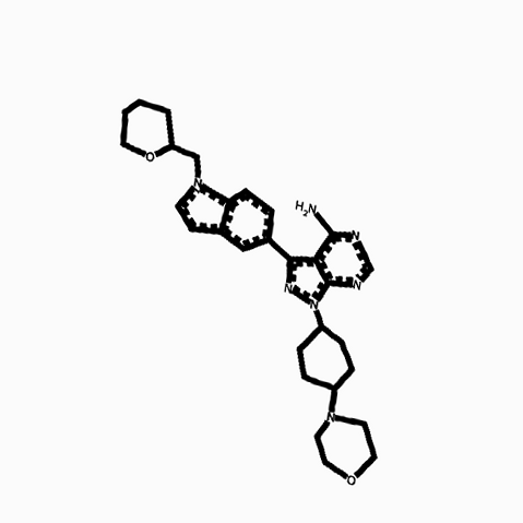 Nc1ncnc2c1c(-c1ccc3c(ccn3CC3CCCCO3)c1)nn2C1CCC(N2CCOCC2)CC1